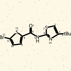 CC(C)(C)c1csc(NC(=O)c2ccc(Br)s2)n1